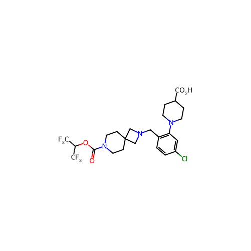 O=C(O)C1CCN(c2cc(Cl)ccc2CN2CC3(CCN(C(=O)OC(C(F)(F)F)C(F)(F)F)CC3)C2)CC1